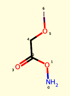 NOC(=O)COI